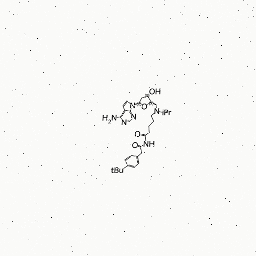 CC(C)N(CCCCC(=O)NC(=O)Cc1ccc(C(C)(C)C)cc1)C[C@H]1O[C@@H](n2ccc3c(N)ncnc32)C[C@@H]1O